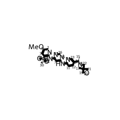 COc1cnc(Nc2cc(Nc3ccc([C@H](C)N4CC5(COC5)C4)cn3)ncn2)c(S(C)(=O)=O)c1